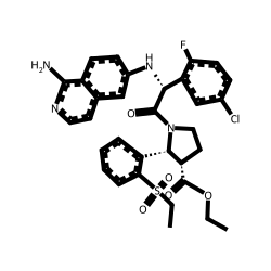 CCOC(=O)[C@H]1CCN(C(=O)[C@H](Nc2ccc3c(N)nccc3c2)c2cc(Cl)ccc2F)[C@H]1c1ccccc1S(=O)(=O)CC